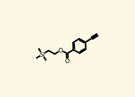 C#Cc1ccc(C(=O)OCC[Si](C)(C)C)cc1